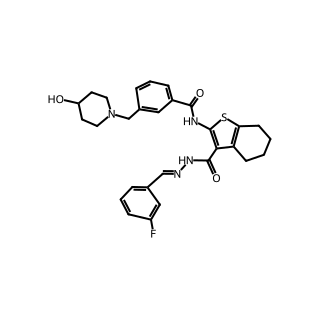 O=C(Nc1sc2c(c1C(=O)NN=Cc1cccc(F)c1)CCCC2)c1cccc(CN2CCC(O)CC2)c1